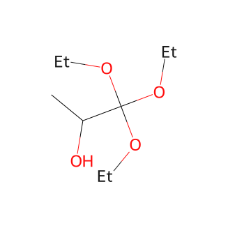 CCOC(OCC)(OCC)C(C)O